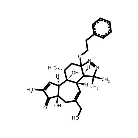 CC1=C[C@H]2[C@@]3(O)[C@H](C)CC4(OCCc5ccccc5)N=NC(C)(C)[C@H]4[C@@H]3C=C(CO)C[C@]2(O)C1=O